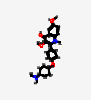 COc1ccc2c(c1)c(=O)c(OC)c(-c1ccc(OC3CCC(N(C)C)CC3)cc1)n2C